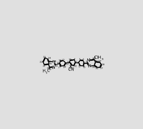 Cc1nc(-c2ccc(-c3ccc(-c4ccc(-c5nc(C)c6ccccc6n5)cc4)c(C#N)c3)cc2)nc2ccccc12